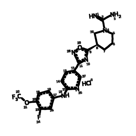 Cl.N=C(N)N1CCC[C@@H](c2nc(-c3ccc(Nc4ccc(OC(F)(F)F)c(F)c4)nc3)no2)C1